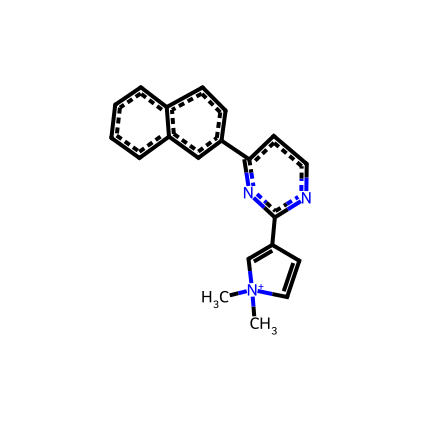 C[N+]1(C)C=CC(c2nccc(-c3ccc4ccccc4c3)n2)=C1